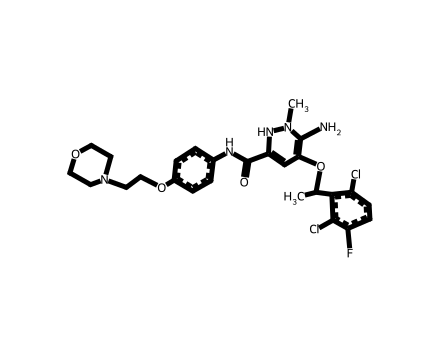 CC(OC1=C(N)N(C)NC(C(=O)Nc2ccc(OCCN3CCOCC3)cc2)=C1)c1c(Cl)ccc(F)c1Cl